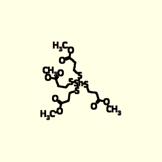 COC(=O)CC[S][Sn]([S]CCC(=O)OC)([S]CCC(=O)OC)[S]CCC(=O)OC